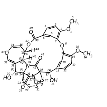 COc1ccc2cc1Oc1cc(ccc1OC)[C@H](O)C13SSSS[C@@]4(C(=O)N1C)[C@H](O)C1=COC=C[C@H](OC2=O)[C@H]1N4C3=O